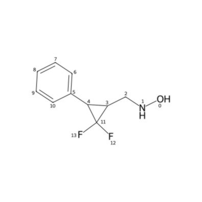 ONCC1C(c2ccccc2)C1(F)F